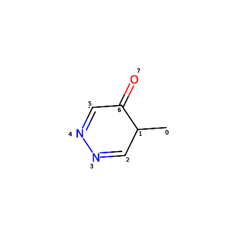 CC1C=NN=[C]C1=O